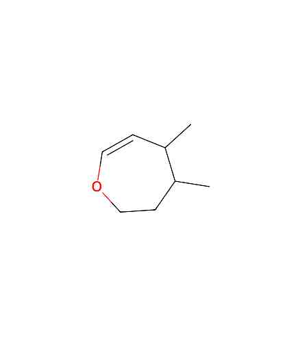 CC1C=COCCC1C